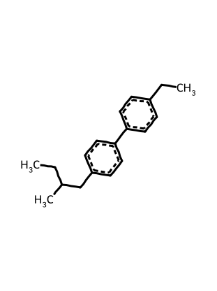 CCc1ccc(-c2ccc(CC(C)CC)cc2)cc1